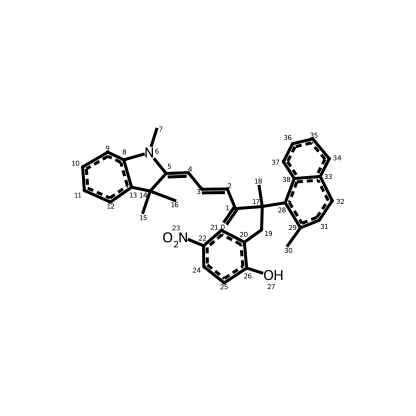 C=C(/C=C/C=C1/N(C)c2ccccc2C1(C)C)C(C)(Cc1cc([N+](=O)[O-])ccc1O)c1c(C)ccc2ccccc12